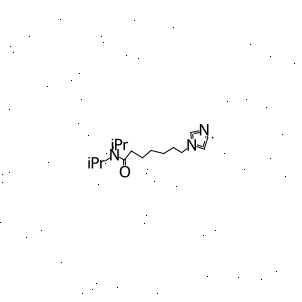 CC(C)N(C(=O)CCCCCCn1c[c]nc1)C(C)C